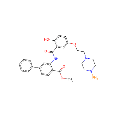 COC(=O)c1ccc(-c2ccccc2)cc1NC(=O)c1cc(OCCN2CCN(P)CC2)ccc1O